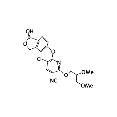 [C-]#[N+]c1cc(Cl)c(Oc2ccc3c(c2)COB3O)nc1OCC(COC)OC